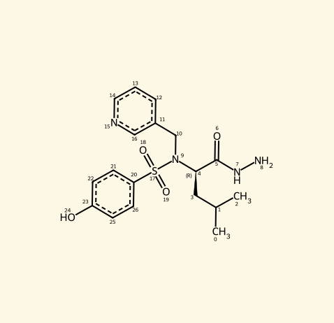 CC(C)C[C@H](C(=O)NN)N(Cc1cccnc1)S(=O)(=O)c1ccc(O)cc1